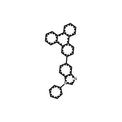 c1ccc(-n2cnc3cc(-c4ccc5c6ccccc6c6ccccc6c5c4)ccc32)cc1